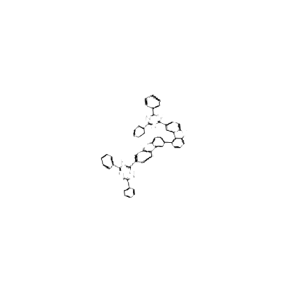 c1ccc(-c2nc(-c3ccccc3)nc(-c3ccc4c(c3)oc3ccc(-c5cccc6oc7ccc(-c8nc(-c9ccccc9)nc(-c9ccccc9)n8)cc7c56)cc34)n2)cc1